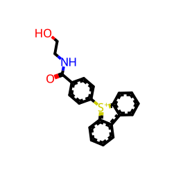 O=C(NCCO)c1ccc(-[s+]2c3ccccc3c3ccccc32)cc1